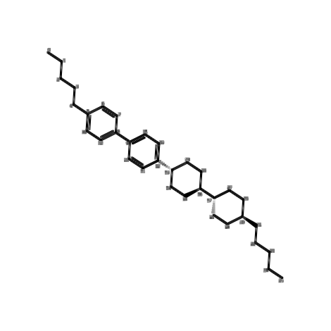 CCCCCc1ccc(-c2ccc([C@H]3CC[C@H]([C@H]4CC[C@H](CCCCC)CC4)CC3)cc2)cc1